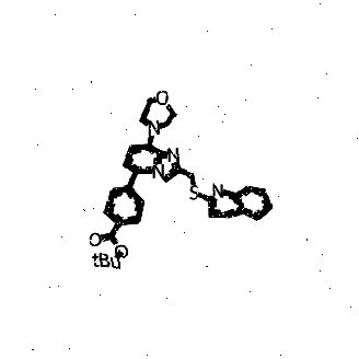 CC(C)(C)OC(=O)c1ccc(-c2ccc(N3CCOCC3)c3nc(CSc4ccc5ccccc5n4)cn23)cc1